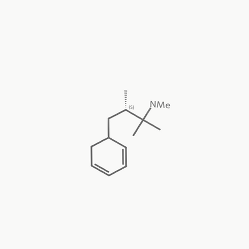 CNC(C)(C)[C@@H](C)CC1C=CC=CC1